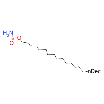 CCCCCCCCCCCCCCCCCCCCCCCCCOC(N)=O